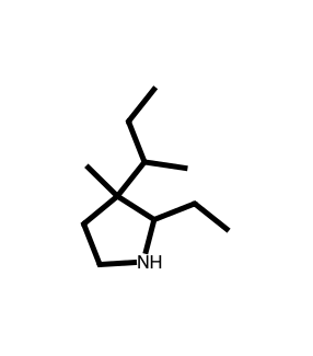 CCC(C)C1(C)CCNC1CC